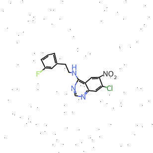 O=[N+]([O-])c1cc2c(NCCc3cccc(F)c3)ncnc2cc1Cl